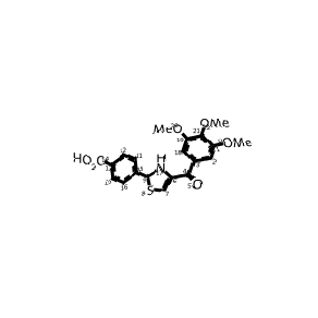 COc1cc(C(=O)C2=CSC(c3ccc(C(=O)O)cc3)N2)cc(OC)c1OC